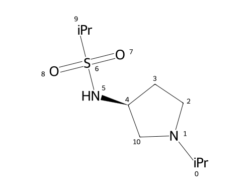 CC(C)N1CC[C@H](NS(=O)(=O)C(C)C)C1